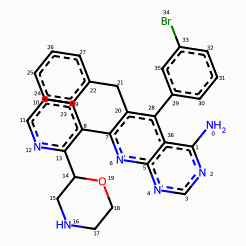 Nc1ncnc2nc(-c3cccnc3C3CNCCO3)c(Cc3ccccc3)c(-c3cccc(Br)c3)c12